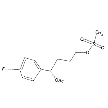 CC(=O)O[C@@H](CCCOS(C)(=O)=O)c1ccc(F)cc1